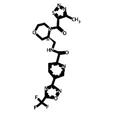 Cc1nnsc1C(=O)N1CCOC[C@@H]1CNC(=O)c1ccc(-c2noc(C(F)(F)F)n2)cn1